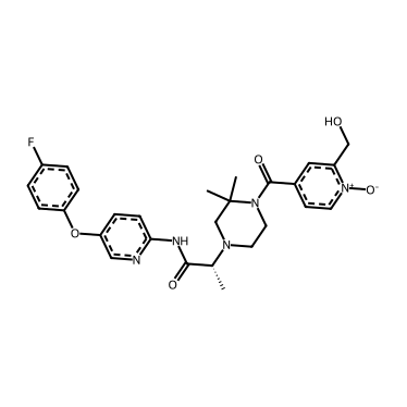 C[C@H](C(=O)Nc1ccc(Oc2ccc(F)cc2)cn1)N1CCN(C(=O)c2cc[n+]([O-])c(CO)c2)C(C)(C)C1